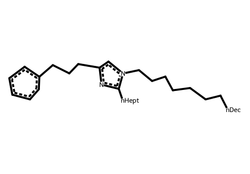 CCCCCCCCCCCCCCCCCn1cc(CCCc2ccccc2)nc1CCCCCCC